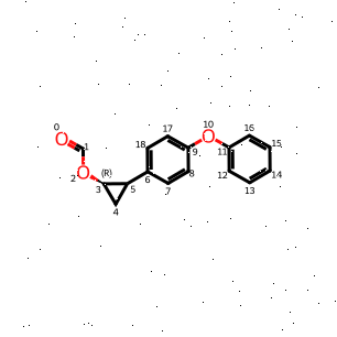 O=CO[C@@H]1CC1c1ccc(Oc2ccccc2)cc1